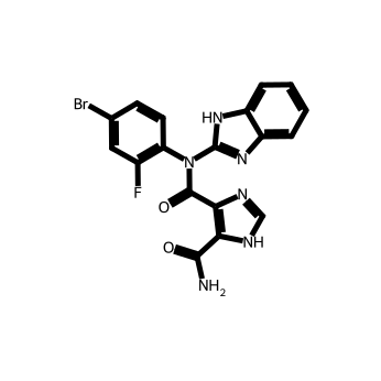 NC(=O)c1[nH]cnc1C(=O)N(c1nc2ccccc2[nH]1)c1ccc(Br)cc1F